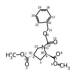 COC(=O)[C@H]1C[C@H](C(=O)OC)N(C(=O)OCc2ccccc2)C1